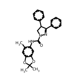 Cc1cc2c(cc1NC(=O)N1CC(c3ccccc3)C(c3ccccc3)=N1)OC(C)(C)O2